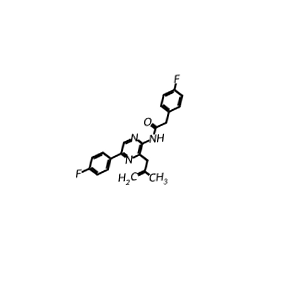 C=C(C)Cc1nc(-c2ccc(F)cc2)cnc1NC(=O)Cc1ccc(F)cc1